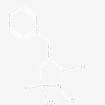 CON1C(O)C(=Cc2ccccc2)SC1(O)OC